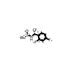 CC(C)(C)[S@@+]([O-])N[C@@H](c1ccc(F)cc1F)C(F)(F)F